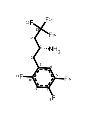 N[C@H](Cc1cc(F)c(F)cc1F)CC(F)(F)F